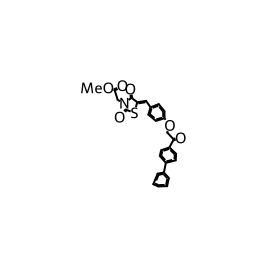 COC(=O)CN1C(=O)S/C(=C\c2ccc(OCC(=O)c3ccc(-c4ccccc4)cc3)cc2)C1=O